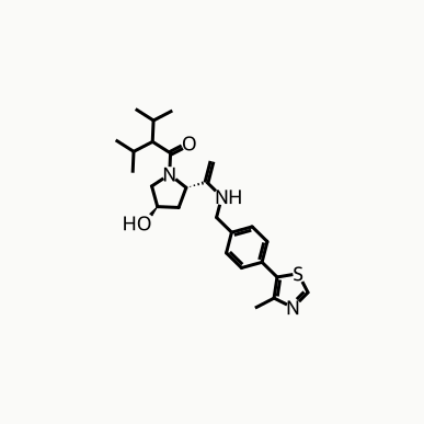 C=C(NCc1ccc(-c2scnc2C)cc1)[C@@H]1C[C@@H](O)CN1C(=O)C(C(C)C)C(C)C